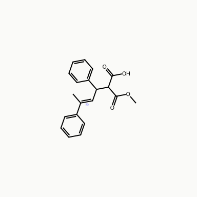 COC(=O)C(C(=O)O)C(/C=C(\C)c1ccccc1)c1ccccc1